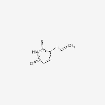 C=CCn1ccc(=O)[nH]c1=S